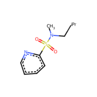 CC(C)CN(C)S(=O)(=O)c1ccccn1